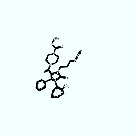 Cc1ccccc1-n1c(-c2ccccc2)c(C(=O)N2CCN(C(=O)OC(C)(C)C)CC2)n(CCCN=[N+]=[N-])c1=O